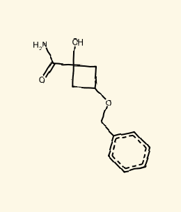 NC(=O)C1(O)CC(OCc2ccccc2)C1